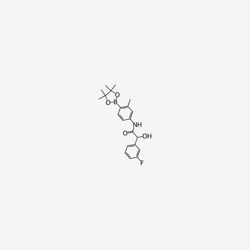 Cc1cc(NC(=O)C(O)c2cccc(F)c2)ccc1B1OC(C)(C)C(C)(C)O1